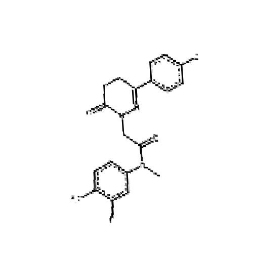 CN(C(=O)CN1N=C(c2ccc(Cl)cc2)CCC1=O)c1ccc(C(F)(F)F)c(F)c1